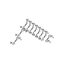 CC.CC.CC.CC.CC.CC.CC.CC.CC.CC